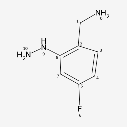 NCc1ccc(F)cc1NN